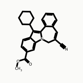 COC(=O)c1ccc2c(C3CCCCC3)c3n(c2c1)CC(C#N)=Cc1ccccc1-3